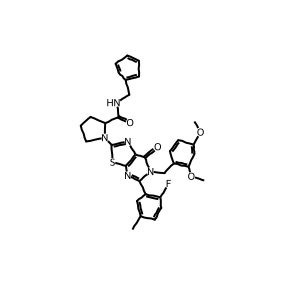 COc1ccc(Cn2c(-c3cc(C)ccc3F)nc3sc(N4CCCC4C(=O)NCc4ccccc4)nc3c2=O)c(OC)c1